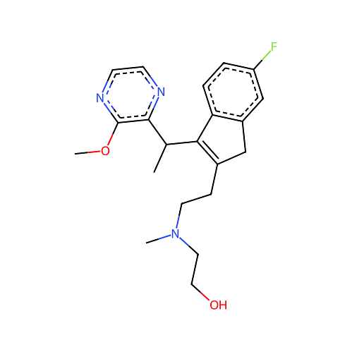 COc1nccnc1C(C)C1=C(CCN(C)CCO)Cc2cc(F)ccc21